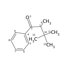 CC(C(=O)c1ccccc1)C(C)(C)C